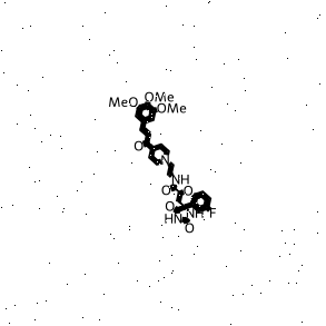 COc1cc(/C=C/C(=O)C2CCN(CCNC(=O)[C@@H]3C[C@]4(NC(=O)NC4=O)c4cc(F)ccc4O3)CC2)cc(OC)c1OC